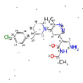 CC(=O)NC(=O)/C(=C\N)c1cc(N2CCCC(Cc3ccc(Cl)cc3)C2)c(C)nn1